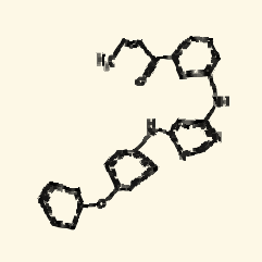 C/C=C\C(=O)c1cccc(Nc2cc(Nc3ccc(Oc4ccccc4)cc3)ncn2)c1